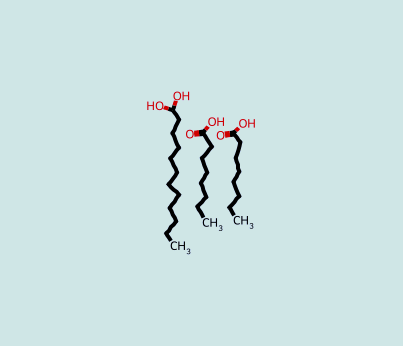 CCCCCCCC(=O)O.CCCCCCCC(=O)O.CCCCCCCCCCCC(O)O